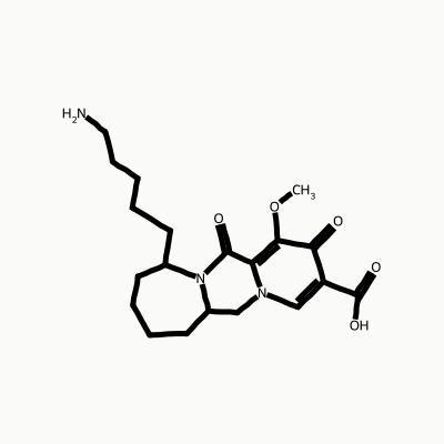 COc1c2n(cc(C(=O)O)c1=O)CC1CCCCC(CCCCCN)N1C2=O